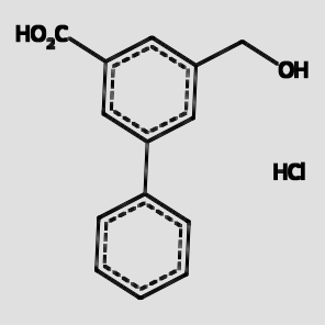 Cl.O=C(O)c1cc(CO)cc(-c2ccccc2)c1